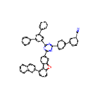 N#Cc1cccc(-c2ccc(-c3nc(-c4cc(-c5ccccc5)cc(-c5ccccc5)c4)nc(-c4ccc5c(c4)oc4cccc(-c6ccc7ccccc7c6)c45)n3)cc2)c1